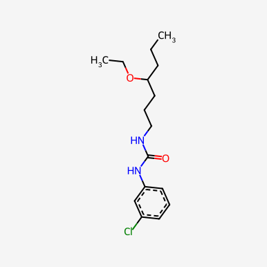 CCCC(CCCNC(=O)Nc1cccc(Cl)c1)OCC